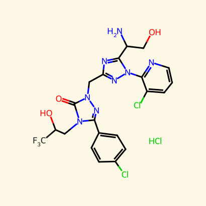 Cl.NC(CO)c1nc(Cn2nc(-c3ccc(Cl)cc3)n(CC(O)C(F)(F)F)c2=O)nn1-c1ncccc1Cl